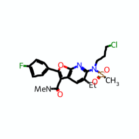 CCc1cc2c(C(=O)NC)c(-c3ccc(F)cc3)oc2nc1N(CCCCl)S(C)(=O)=O